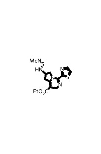 CCOC(=O)C1=C2CC(NSNC)CN2C(c2nccs2)=NC1